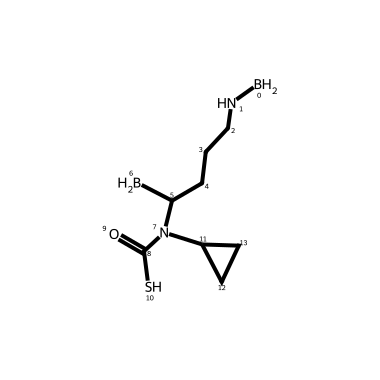 BNCCCC(B)N(C(=O)S)C1CC1